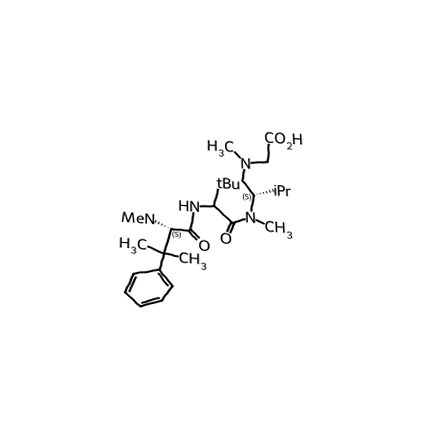 CN[C@H](C(=O)NC(C(=O)N(C)[C@H](CN(C)CC(=O)O)C(C)C)C(C)(C)C)C(C)(C)c1ccccc1